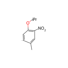 Cc1[c]cc(OC(C)C)c([N+](=O)[O-])c1